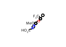 COc1cc(COc2ccc(C3CCCCC3)c(CC(F)(F)F)c2)ccc1N1CCN(CCC(=O)O)CC1